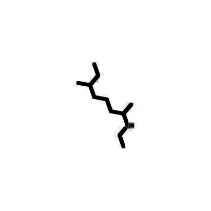 CCNC(C)CCCC(C)CC